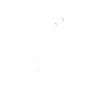 O=C(c1ccc(Oc2ccccc2P(c2ccccc2)c2ccccc2)cc1)c1ccc(Oc2ccccc2[PH](c2ccccc2)(c2ccccc2)c2ccccc2)cc1